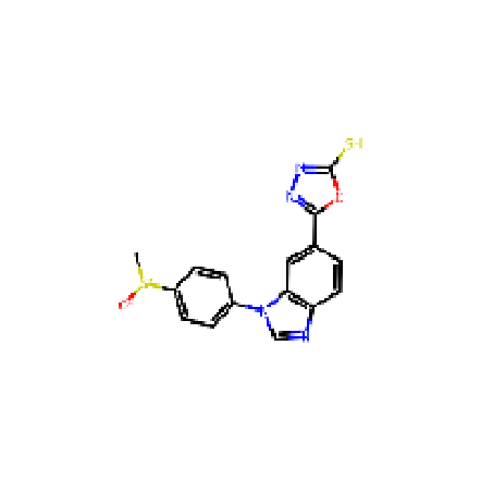 C[S+]([O-])c1ccc(-n2cnc3ccc(-c4nnc(S)o4)cc32)cc1